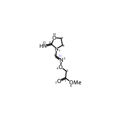 COC(=O)CO/N=C/N1CCOC1=N